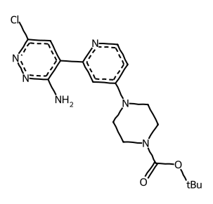 CC(C)(C)OC(=O)N1CCN(c2ccnc(-c3cc(Cl)nnc3N)c2)CC1